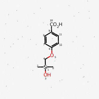 C[Si](C)(O)COc1ccc(C(=O)O)cc1